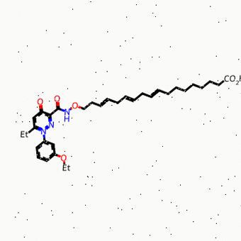 CCOc1cccc(-n2nc(C(=O)NOCCC=CCC=CCC=CCCCCCCCC(=O)O)c(=O)cc2CC)c1